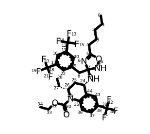 CCCCCC1=NC(Cc2cc(C(F)(F)F)cc(C(F)(F)F)c2)(N[C@H]2C[C@@H](CC)N(C(=O)OCC)c3ccc(C(F)(F)F)cc32)NO1